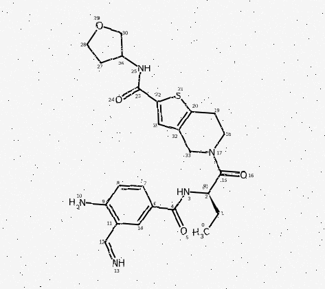 CC[C@@H](NC(=O)c1ccc(N)c(C=N)c1)C(=O)N1CCc2sc(C(=O)NC3CCOC3)cc2C1